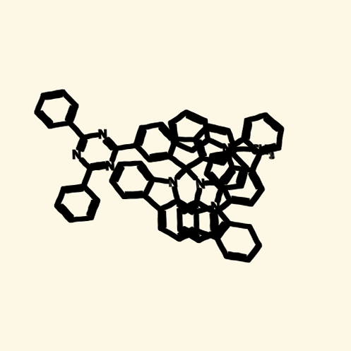 Cc1ccc2c(c1)C(n1c3ccccc3c3ccc4c5c(n(-c6ccccc6)c4c31)CCC=C5)(n1c3ccccc3c3ccc4c5ccccc5n(C5C=CC=CC5)c4c31)c1cc(-c3nc(-c4ccccc4)nc(-c4ccccc4)n3)ccc1-2